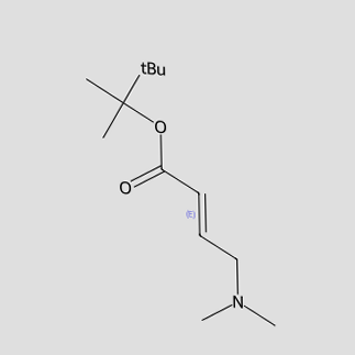 CN(C)C/C=C/C(=O)OC(C)(C)C(C)(C)C